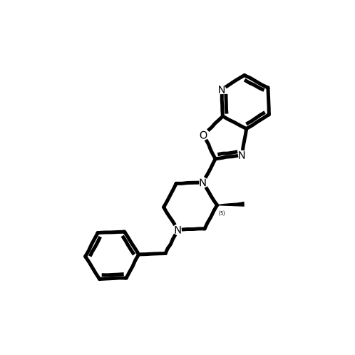 C[C@H]1CN(Cc2ccccc2)CCN1c1nc2cccnc2o1